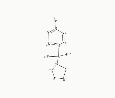 FC(F)(c1ccc(Br)cn1)C1CCCC1